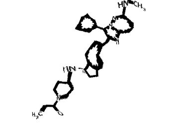 C=CC(=O)N1CCC(N[C@H]2CCc3cc(-c4nc5ccc(NC)nn5c4-c4ccccc4)ccc32)CC1